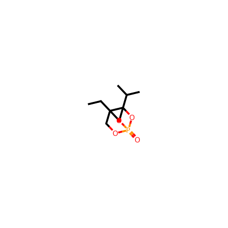 CCC12COP(=O)(OC1)OC2C(C)C